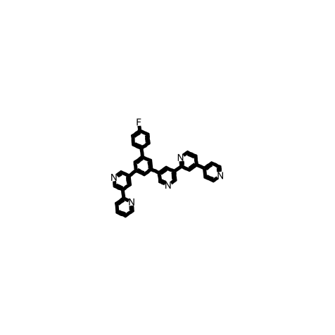 Fc1ccc(-c2cc(-c3cncc(-c4ccccn4)c3)cc(-c3cncc(-c4cc(-c5ccncc5)ccn4)c3)c2)cc1